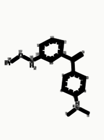 C=C(c1ccc([SiH](C)C)cc1)c1cccc([SiH2]OC(C)C)c1